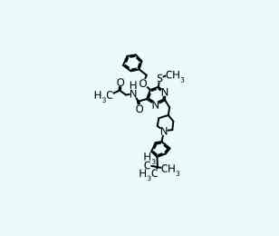 CSc1nc(CC2CCN(c3ccc(C(C)(C)C)cc3)CC2)nc(C(=O)NCC(C)=O)c1OCc1ccccc1